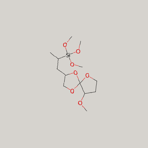 COC1CCOC12OCC(CC(C)[Si](OC)(OC)OC)O2